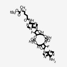 CN(CCCC(=O)Nc1ncnc2c1ncn2[C@@H]1O[C@@H]2CO[P@@](=O)(S)OC3[C@@H](F)[C@H](n4cnc5c(N)ncnc54)O[C@@H]3CO[P@@](=O)(S)OC2[C@H]1F)C(=O)OC(C)(C)C